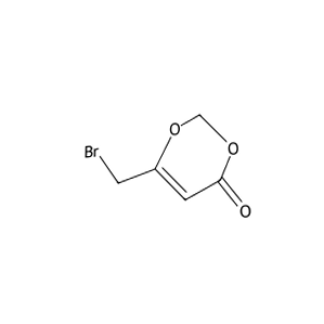 O=C1C=C(CBr)OCO1